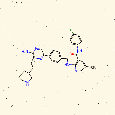 Nc1ncc(-c2ccc(CNc3ncc(C(F)(F)F)cc3C(=O)Nc3ccc(F)cc3)cc2)nc1CCC1CCCNC1